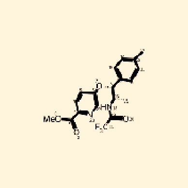 COC(=O)c1ccc(O[C@H](c2ccc(C)cc2)[C@H](C)NC(=O)C(F)(F)F)cn1